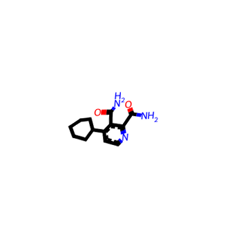 NC(=O)c1nccc(C2CCCCC2)c1C(N)=O